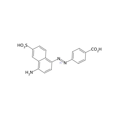 Nc1ccc(/N=N/c2ccc(C(=O)O)cc2)c2ccc(S(=O)(=O)O)cc12